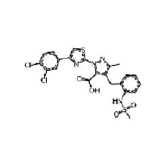 Cc1nn(-c2nc(-c3ccc(Cl)c(Cl)c3)cs2)c(C(=O)O)c1Cc1ccccc1NS(C)(=O)=O